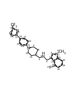 Cn1cc(CNCC2CCN(c3ccc(-c4noc(C(F)(F)F)n4)cn3)CC2)c2c(F)cccc21